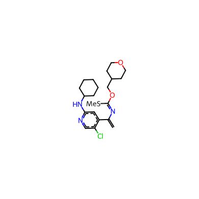 C=C(/N=C(/OCC1CCOCC1)SC)c1cc(NC2CCCCC2)ncc1Cl